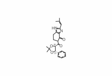 CC(C)=Cc1nc2c([nH]1)CCC(C(=O)[C@@H]1OC(C)(C)O[C@H]1c1ccccc1)C2=O